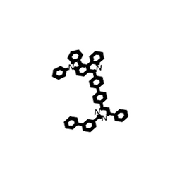 c1ccc(-c2cccc(-c3nc(-c4ccccc4)cc(-c4ccc(-c5ccc(-c6nc7ccccc7c7c6ccc6c7c7ccccc7n6-c6ccccc6)cc5)cc4)n3)c2)cc1